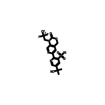 CCS(=O)(=O)c1cc(C(C)(C)C#N)cnc1-c1cc2c(cn1)N(CC(F)(F)C(F)(F)F)C(=O)OC2